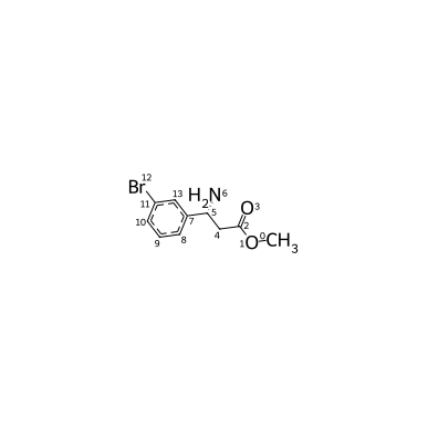 COC(=O)C[C@@H](N)c1cccc(Br)c1